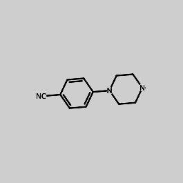 N#Cc1ccc(N2CC[N]CC2)cc1